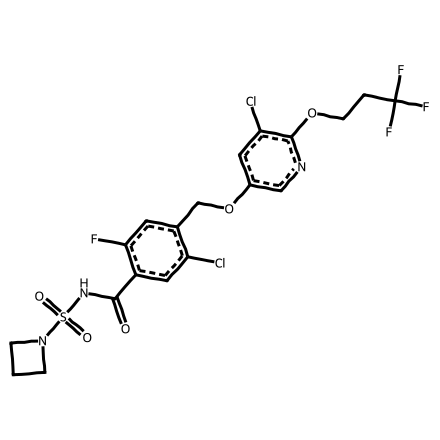 O=C(NS(=O)(=O)N1CCC1)c1cc(Cl)c(COc2cnc(OCCC(F)(F)F)c(Cl)c2)cc1F